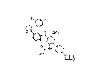 C=CC(=O)Nc1cc(Nc2cc(N3OCC[C@@H]3c3ccc(F)cc3F)ncn2)c(OC)cc1N1CCC(N2CC3OCC32)CC1